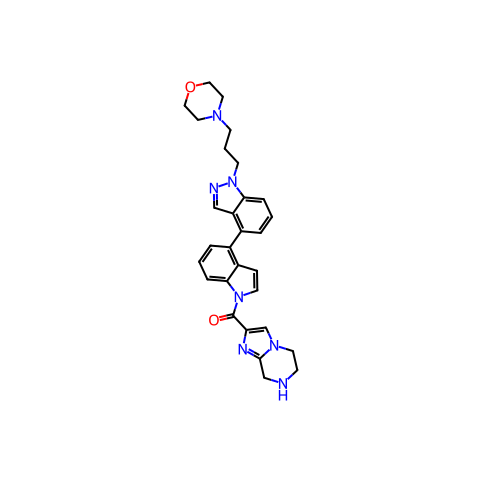 O=C(c1cn2c(n1)CNCC2)n1ccc2c(-c3cccc4c3cnn4CCCN3CCOCC3)cccc21